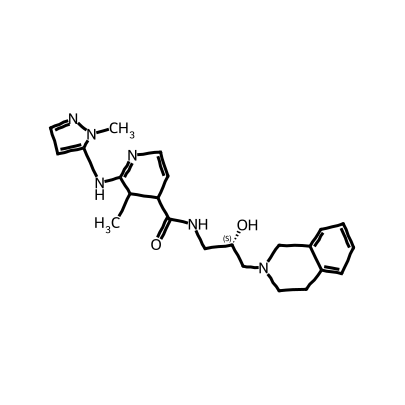 CC1C(Nc2ccnn2C)=NC=CC1C(=O)NC[C@H](O)CN1CCc2ccccc2C1